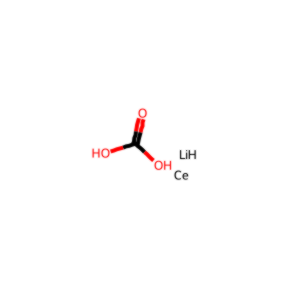 O=C(O)O.[Ce].[LiH]